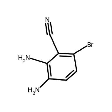 N#Cc1c(Br)ccc(N)c1N